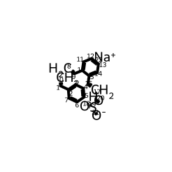 C=Cc1ccccc1.C=Cc1ccccc1C=C.O=[SH](=O)[O-].[Na+]